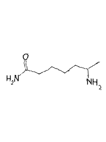 CC(N)CCCCC(N)=O